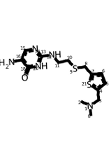 CN(C)Cc1ccc(CSCCNc2ncc(N)c(=O)[nH]2)s1